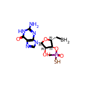 BC[C@H]1O[C@@H](n2cnc3c(=O)[nH]c(N)nc32)[C@H](O)[C@@H]1OP(C)(=O)S